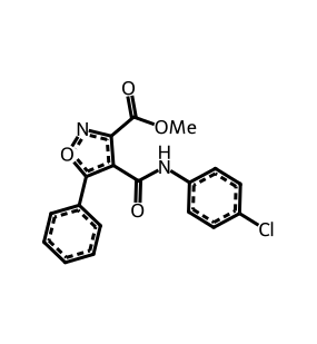 COC(=O)c1noc(-c2ccccc2)c1C(=O)Nc1ccc(Cl)cc1